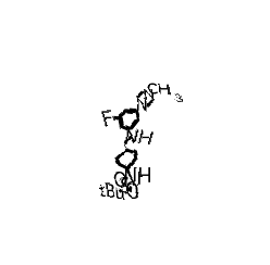 CN1CCN(c2cc(F)cc(NC[C@H]3CC[C@H](NS(=O)(=O)C(C)(C)C)CC3)c2)CC1